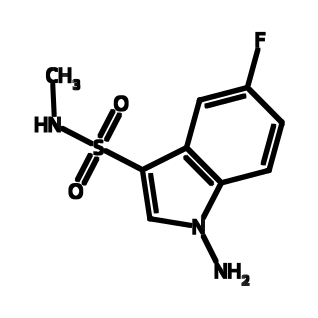 CNS(=O)(=O)c1cn(N)c2ccc(F)cc12